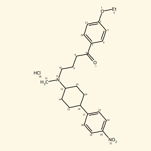 CCOc1ccc(C(=O)CCCN(C)C2CCC(c3ccc([N+](=O)[O-])cc3)CC2)cc1.Cl